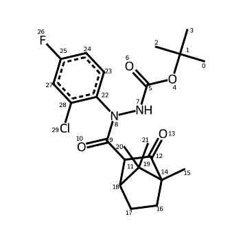 CC(C)(C)OC(=O)NN(C(=O)C1C(=O)C2(C)CCC1C2(C)C)c1ccc(F)cc1Cl